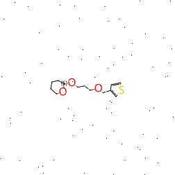 c1cc(COCCCO[C@H]2CCCCO2)cs1